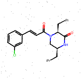 CC(C)C[C@H]1CN(C(=O)C=Cc2cccc(Cl)c2)[C@@H](CC(C)C)C(=O)N1